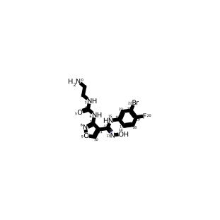 NCCNC(=O)Nc1nocc1/C(=N/O)Nc1ccc(F)c(Br)c1